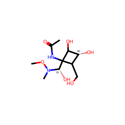 CON(C)[C@@H](O)C1(NC(C)=O)C(O)[C@H](O)C1CO